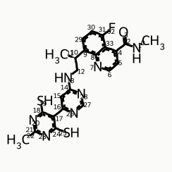 CNC(=O)c1ccnc2c([C@H](C)CNc3cc(-c4c(S)nc(C)nc4S)ncn3)ccc(F)c12